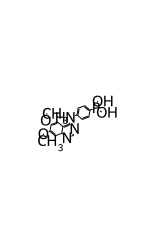 COc1cc2ncnc(Nc3ccc(P(O)O)cc3)c2cc1OC